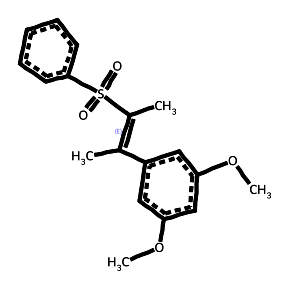 COc1cc(OC)cc(/C(C)=C(\C)S(=O)(=O)c2ccccc2)c1